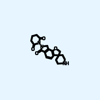 O=C1c2ccc3c(c2CN1N1C(=O)CCCC1=O)OCC31CCNCC1